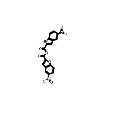 O=C(OC(=O)c1cc2cc([N+](=O)[O-])ccc2o1)c1cc2cc([N+](=O)[O-])ccc2[nH]1